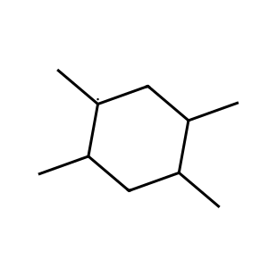 C[C]1CC(C)C(C)CC1C